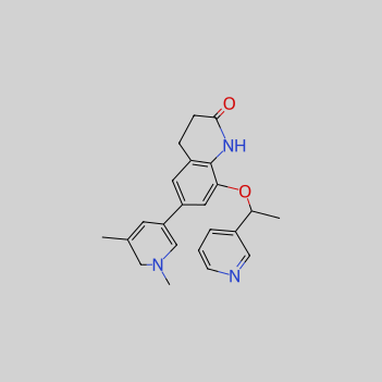 CC1=CC(c2cc3c(c(OC(C)c4cccnc4)c2)NC(=O)CC3)=CN(C)C1